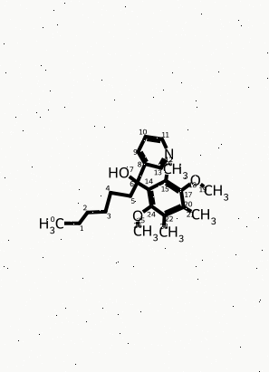 CCCCCCC(O)(c1cccnc1)c1c(C)c(OC)c(C)c(C)c1OC